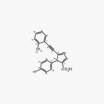 CCOC(=O)c1cnc(C#Cc2ccccc2C(F)(F)F)n1-c1ccc(F)cc1